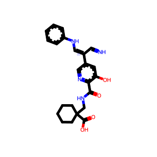 N=C/C(=C\Nc1ccccc1)c1cnc(C(=O)NCC2(C(=O)O)CCCCC2)c(O)c1